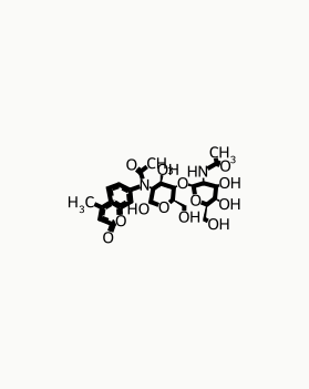 CC(=O)N[C@H]1[C@H](O[C@H]2[C@H](O)[C@@H](N(C(C)=O)c3ccc4c(C)cc(=O)oc4c3)[C@H](O)O[C@@H]2CO)O[C@H](CO)[C@@H](O)[C@@H]1O